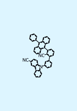 N#Cc1ccc2c(c1)c1ccccc1n2-c1cccc(-c2cccc(-c3c4ccccc4c(-c4ccccc4)c4ccccc34)c2C#N)c1